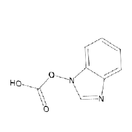 O=C(O)On1cnc2ccccc21